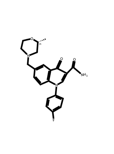 C[C@@H]1CN(Cc2ccc3c(c2)c(=O)c(C(N)=O)cn3-c2ccc(F)cc2)CCO1